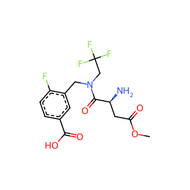 COC(=O)C[C@H](N)C(=O)N(Cc1cc(C(=O)O)ccc1F)CC(F)(F)F